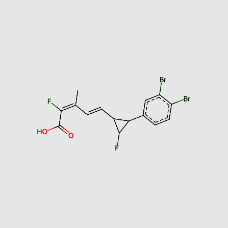 CC(/C=C/C1C(F)C1c1ccc(Br)c(Br)c1)=C(\F)C(=O)O